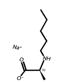 CCCCCN[C@@H](C)C(=O)[O-].[Na+]